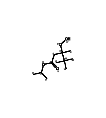 CC(C)OC(=O)CC(C)(OO)C(C)(C)C